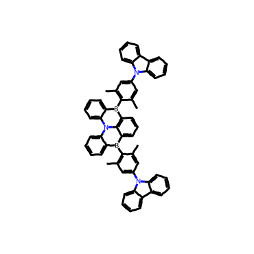 Cc1cc(-n2c3ccccc3c3ccccc32)cc(C)c1B1c2ccccc2N2c3ccccc3B(c3c(C)cc(-n4c5ccccc5c5ccccc54)cc3C)c3cccc1c32